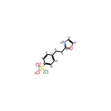 O=S(=O)(Cl)c1ccc(CCc2ncco2)cc1